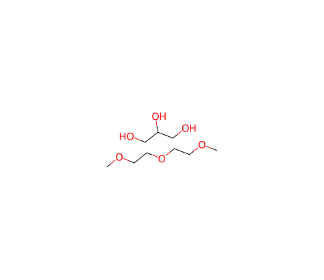 COCCOCCOC.OCC(O)CO